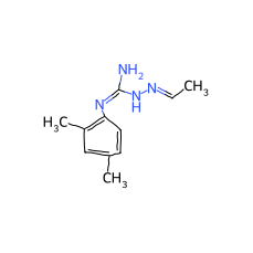 CC=NNC(N)=Nc1ccc(C)cc1C